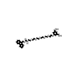 O=C(NCCOCCOCCOCCOCCOCCOc1cc(CO)cc(CO)c1)OCC1c2ccccc2-c2ccccc21